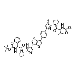 COC(=O)N[C@H](C(=O)N1CCC[C@H]1c1nc(-c2ccc(-c3csc4c(-c5cnc([C@@H]6CCCN6C(=O)[C@H](NC(=O)OC(C)(C)C)c6ccccc6)[nH]5)csc34)cc2)c[nH]1)C(C)C